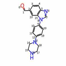 O=Cc1ccc2ncn(-c3ccc(N4CCNCC4)cc3)c2c1